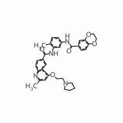 Cc1cc(OCCN2CCCC2)c2cc(C(=O)Nc3cc(NC(=O)c4ccc5c(c4)OCCO5)ccc3C)ccc2n1